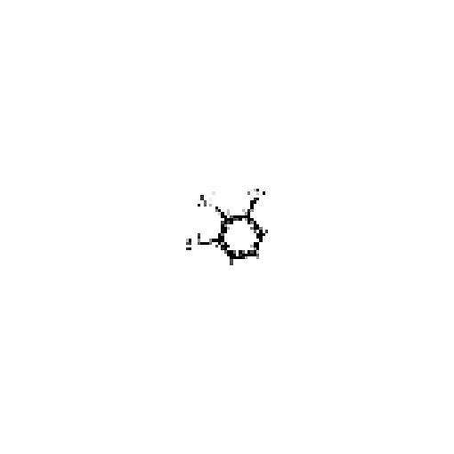 [CH2]C(=O)c1c(Br)cccc1Br